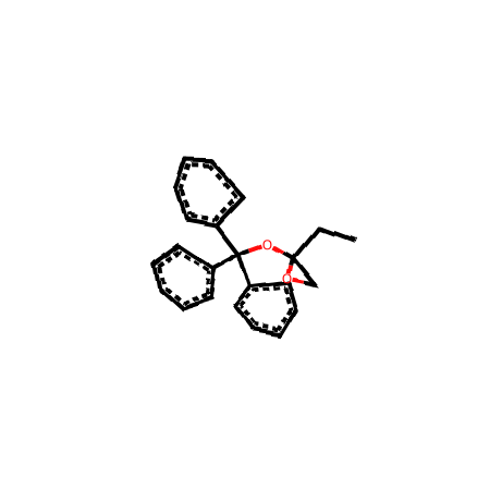 CCC1(OC(c2ccccc2)(c2ccccc2)c2ccccc2)CO1